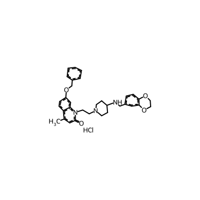 Cc1cc(=O)n(CCN2CCC(NCc3ccc4c(c3)OCCO4)CC2)c2cc(OCc3ccccc3)ccc12.Cl